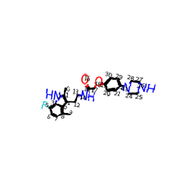 Cc1[nH]c2c(F)ccc(C)c2c1CCNC(=O)COc1ccc(N2CCNCC2)cc1